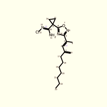 C=C(/C=C(\C)c1noc(C2(/C(N)=N/Cl)CC2)n1)CCCCCCC